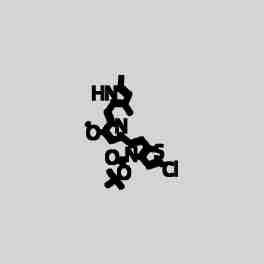 COC1=CC(c2cc3sc(Cl)cc3n2C(=O)OC(C)(C)C)=NC1=Cc1[nH]c(C)cc1C